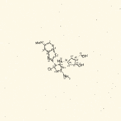 CNc1ccc2sc(-c3c(Cl)nc(N)nc3N[C@@H]3C[C@H](CO)[C@@H](O)C3)nc2c1